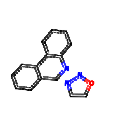 c1ccc2c(c1)cnc1ccccc12.c1conn1